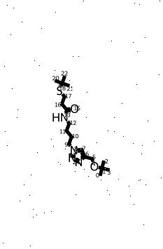 CC(C)(C)OCc1cn(CCCCNC(=O)CCSC(C)(C)C)nn1